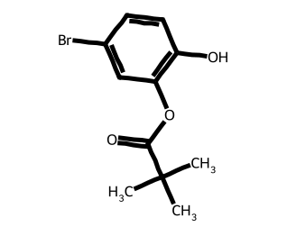 CC(C)(C)C(=O)Oc1cc(Br)ccc1O